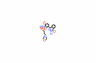 COc1ccc(-c2n[nH]c(=O)c3ccccc23)cc1NS(=O)(=O)CCCCN1CCOCC1